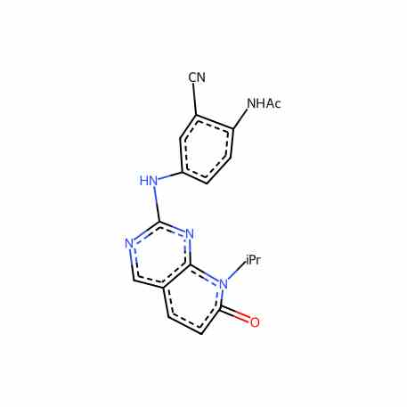 CC(=O)Nc1ccc(Nc2ncc3ccc(=O)n(C(C)C)c3n2)cc1C#N